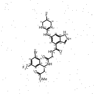 COC(=O)C[C@H](NC(=O)CNC(=O)c1cc(NC2=NCC(F)CN2)cc2[nH]ncc12)c1cc(Br)cc(C(F)(F)F)c1